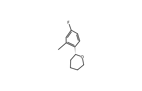 Cc1cc(F)ccc1[C@H]1CCCCO1